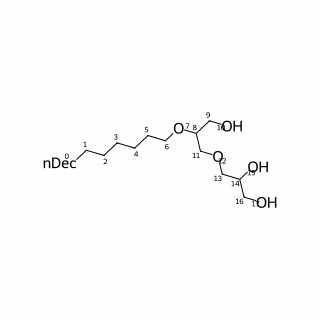 CCCCCCCCCCCCCCCCOC(CO)COCC(O)CO